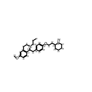 CCCN1CCc2cc(OC)ccc2C1Cc1ccc(OCCC2CCCCN2)cc1